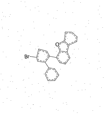 Brc1ccc(-c2cccc3c2oc2ccccc23)c(-c2ccccc2)c1